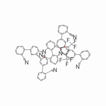 N#Cc1ccccc1-c1ccc2c(c1)c1cc(-c3ccccc3C#N)ccc1n2-c1cccc(C#N)c1-c1c(-c2cc(C(F)(F)F)cc(C(F)(F)F)c2)cccc1-n1c2ccc(-c3ccccc3C#N)cc2c2cc(-c3ccccc3C#N)ccc21